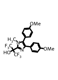 COc1ccc(-c2nc(C(O)(C(F)(F)F)C(F)(F)F)n(C)c2-c2ccc(OC)cc2)cc1